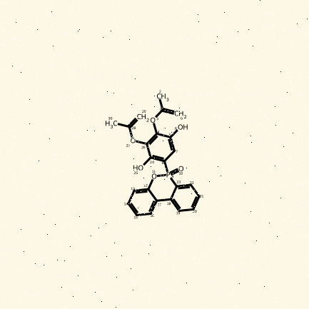 C=C(C)Oc1c(O)cc(P2(=O)Oc3ccccc3-c3ccccc32)c(O)c1OC(=C)C